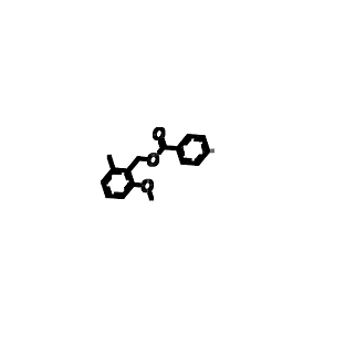 COc1cccc(C)c1COC(=O)c1cc[c]cc1